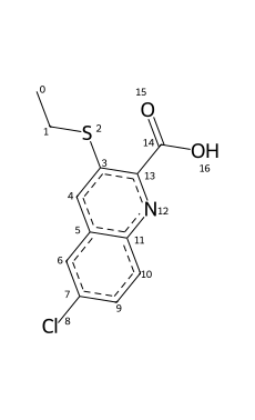 CCSc1cc2cc(Cl)ccc2nc1C(=O)O